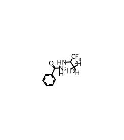 [2H]C([2H])([2H])C(NNC(=O)c1ccccc1)C(F)(F)F